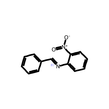 O=[N+]([O-])c1ccccc1/N=C/c1ccccc1